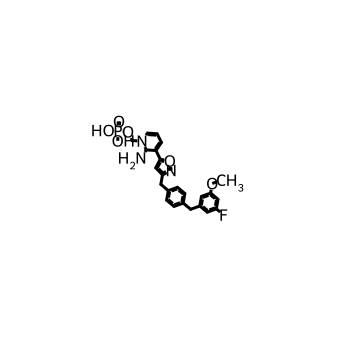 COc1cc(F)cc(Cc2ccc(Cc3cc(C4=CC=CN(COP(=O)(O)O)C4N)on3)cc2)c1